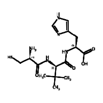 CC(C)(C)[C@@H](NC(=O)[C@@H](N)CS)C(=O)N[C@@H](Cc1c[nH]cn1)C(=O)O